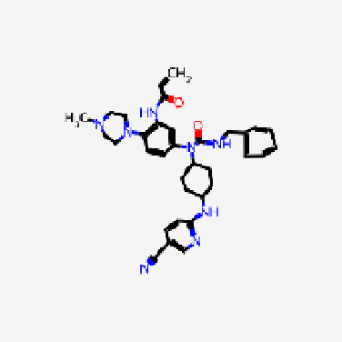 C=CC(=O)Nc1cc(N(C(=O)NCc2ccccc2)C2CCC(Nc3ccc(C#N)cn3)CC2)ccc1N1CCN(C)CC1